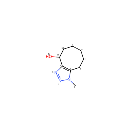 Cn1nnc2c1CCCCCC2O